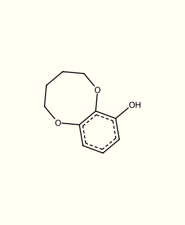 Oc1cccc2c1OCCCCO2